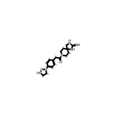 N=C1NCC2(CCN(C(=O)Cc3ccc(N4CCNO4)cc3)CC2)N1